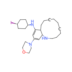 I[C@H]1CC[C@@H](NC2=CC(N3CCOCC3)=CC3NCCCCCCCCCC23)CC1